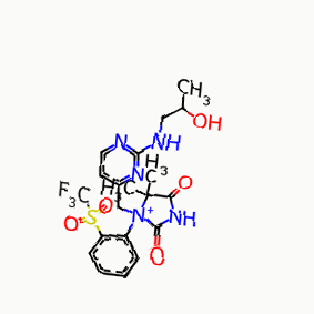 CC(O)CNc1nccc(C[N+]2(c3ccccc3S(=O)(=O)C(F)(F)F)C(=O)NC(=O)C2(C)C)n1